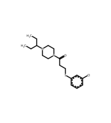 CCC(CC)N1CCN(C(=O)CCSc2cccc(Cl)c2)CC1